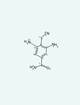 N#CSc1c(N)cc(C(N)=O)cc1N